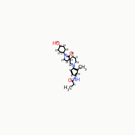 CCC(=O)Nc1ccc(N2CCC[C@]3(CCN(C4CCC(O)CC4)C3=O)C2)c(C)c1